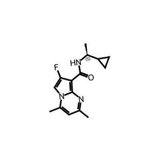 Cc1cc(C)n2cc(F)c(C(=O)N[C@@H](C)C3CC3)c2n1